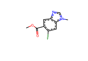 COC(=O)c1cc2ncn(C)c2cc1F